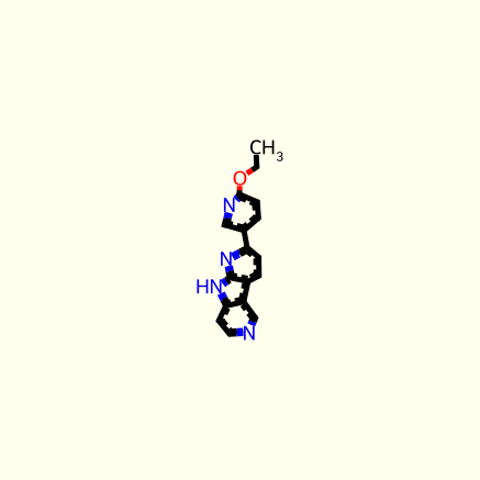 CCOc1ccc(-c2ccc3c(n2)[nH]c2ccncc23)cn1